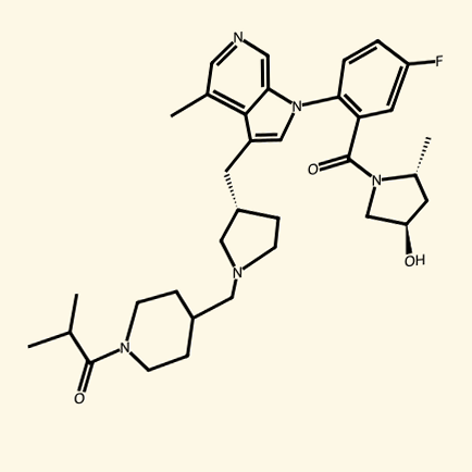 Cc1cncc2c1c(C[C@@H]1CCN(CC3CCN(C(=O)C(C)C)CC3)C1)cn2-c1ccc(F)cc1C(=O)N1C[C@H](O)C[C@H]1C